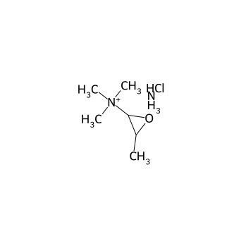 CC1OC1[N+](C)(C)C.Cl.N